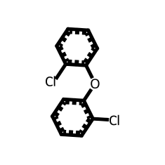 Clc1ccccc1Oc1ccccc1Cl